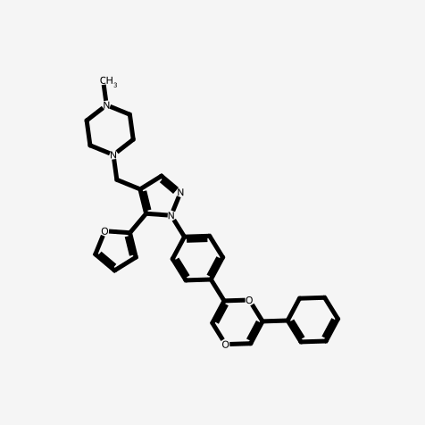 CN1CCN(Cc2cnn(-c3ccc(C4=COC=C(C5=CC=CCC5)O4)cc3)c2-c2ccco2)CC1